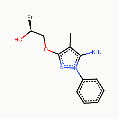 CC[C@H](O)COc1nn(-c2ccccc2)c(N)c1C